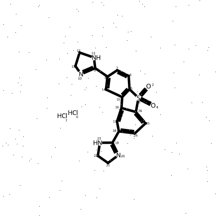 Cl.Cl.O=S1(=O)c2ccc(C3=NCCN3)cc2-c2cc(C3=NCCN3)ccc21